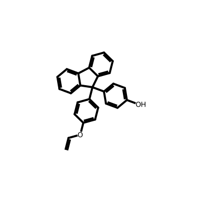 C=COc1ccc(C2(c3ccc(O)cc3)c3ccccc3-c3ccccc32)cc1